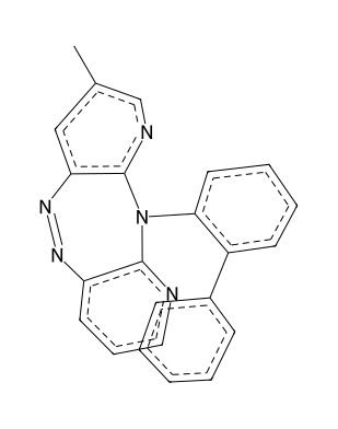 Cc1cnc2c(c1)N=Nc1cccnc1N2c1ccccc1-c1ccccc1